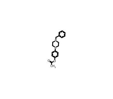 CC(=O)Oc1ccc(N2CCN(Cc3ccccc3)CC2)cc1